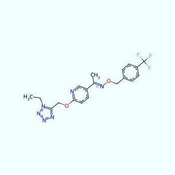 CCn1nnnc1COc1ccc(/C(C)=N/OCc2ccc(C(F)(F)F)cc2)cn1